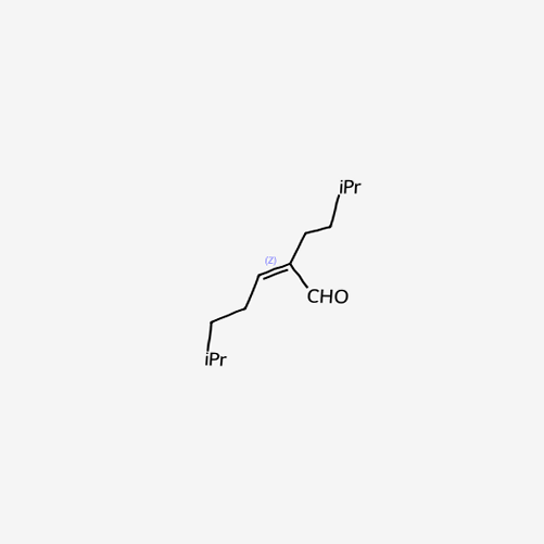 CC(C)CC/C=C(\C=O)CCC(C)C